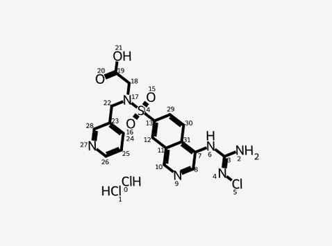 Cl.Cl.NC(=NCl)Nc1cncc2cc(S(=O)(=O)N(CC(=O)O)Cc3cccnc3)ccc12